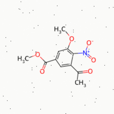 COC(=O)c1cc(OC)c([N+](=O)[O-])c(C(C)=O)c1